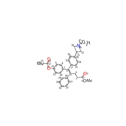 COC(=O)CCC(=C(c1ccc(OC(=O)C(C)(C)C)cc1)c1ccc(C2CN(C(=O)O)C2)cc1)c1ccccc1